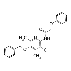 Cc1nc(NC(=O)COc2ccccc2)c(C)c(C)c1OCc1ccccc1